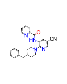 N#Cc1cnc(N2CCC(Cc3ccccc3)CC2)c(NC(=O)c2ccccn2)c1